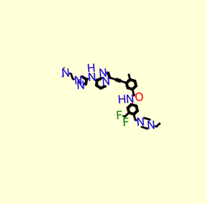 CCN1CCN(Cc2ccc(NC(=O)c3ccc(C)c(C#Cc4cnc5c(Nc6cnn(CCN(C)C)c6)cccn45)c3)cc2C(F)F)CC1